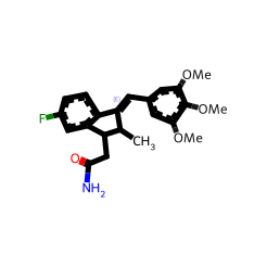 COc1cc(/C=C2/c3ccc(F)cc3C(CC(N)=O)C2C)cc(OC)c1OC